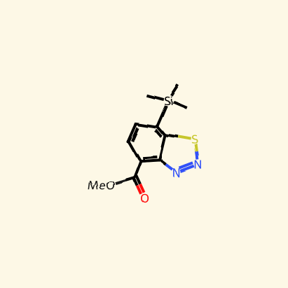 COC(=O)c1ccc([Si](C)(C)C)c2snnc12